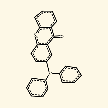 O=c1c2ccccc2sc2ccc([S+](c3ccccc3)c3ccccc3)cc12